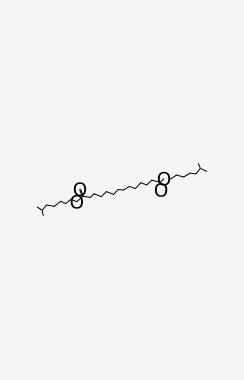 CC(C)CCCCCOC(=O)CCCCCCCCCCCCC(=O)OCCCCCC(C)C